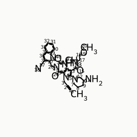 CC#CCn1c(N2CCC[C@@H](N)C2)c(C(=O)NCCOC)c2c1c(=O)n(Cc1nc3ccccc3cc1C#N)c(=O)n2C